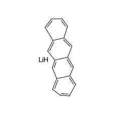 [LiH].c1ccc2cc3cc4ccccc4cc3cc2c1